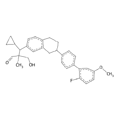 COc1ccc(F)c(-c2ccc(C3CCc4ccc(C(C5CC5)C(C)(C=O)CO)cc4C3)cc2)c1